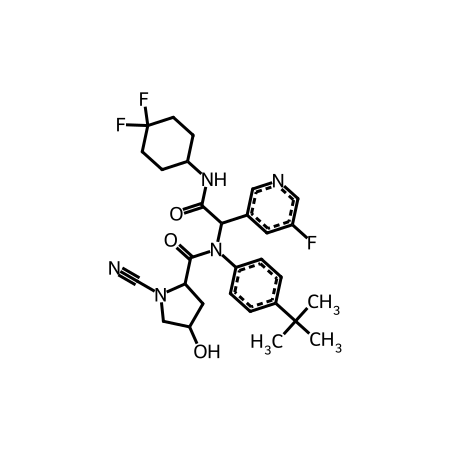 CC(C)(C)c1ccc(N(C(=O)C2CC(O)CN2C#N)C(C(=O)NC2CCC(F)(F)CC2)c2cncc(F)c2)cc1